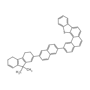 CC1(C)C2=C(CCC=C2)C2=C1C=C(c1ccc3cc(-c4ccc5ccc6ccc7c8ccccc8sc7c6c5c4)ccc3c1)CC2